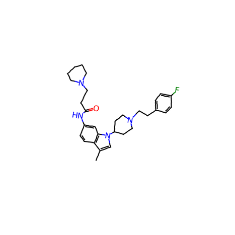 Cc1cn(C2CCN(CCc3ccc(F)cc3)CC2)c2cc(NC(=O)CCN3CCCCC3)ccc12